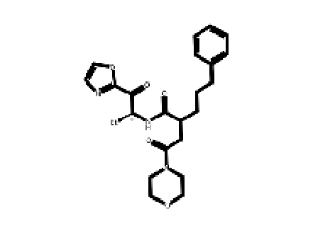 CC[C@H](NC(=O)C(CCCc1ccccc1)CC(=O)N1CCOCC1)C(=O)c1ncco1